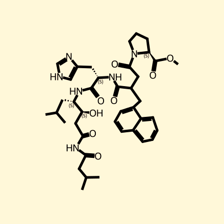 COC(=O)[C@@H]1CCCN1C(=O)CC(Cc1cccc2ccccc12)C(=O)N[C@@H](Cc1c[nH]cn1)C(=O)N[C@@H](CC(C)C)[C@@H](O)CC(=O)NC(=O)CC(C)C